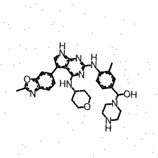 Cc1nc2ccc(-c3c[nH]c4nc(Nc5ccc(C(O)N6CCNCC6)cc5C)nc(NC5CCOCC5)c34)cc2o1